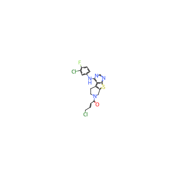 O=C(C=CCCl)N1CCc2c(sc3ncnc(Nc4ccc(F)c(Cl)c4)c23)C1